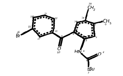 Cc1cc(NC(=O)C(C)(C)C)c(C(=O)c2cccc(Br)c2)cc1C